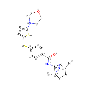 O=C(N[C@@H]1C[C@H]2CC[C@@H]1N2)c1ccc(Sc2ccc(N3CCOCC3)s2)cc1